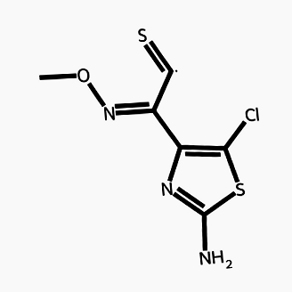 CON=C([C]=S)c1nc(N)sc1Cl